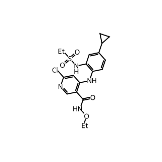 CCONC(=O)c1cnc(Cl)cc1Nc1ccc(C2CC2)cc1NS(=O)(=O)CC